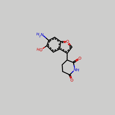 Nc1cc2occ(C3CCC(=O)NC3=O)c2cc1O